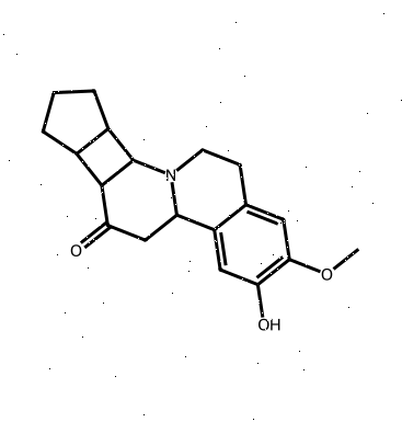 COc1cc2c(cc1O)C1CC(=O)C3C4CCCC4C3N1CC2